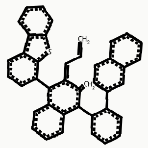 C=C/C=c1/c(-c2cccc3c2sc2ccccc23)c2ccccc2c(-c2ccccc2-c2ccc3ccccc3c2)c1=C